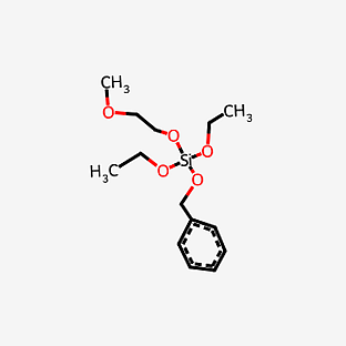 CCO[Si](OCC)(OCCOC)OCc1ccccc1